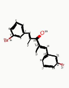 C/C(=C\c1cccc(Br)c1)C(=O)/C(C)=C/c1cccc(Br)c1